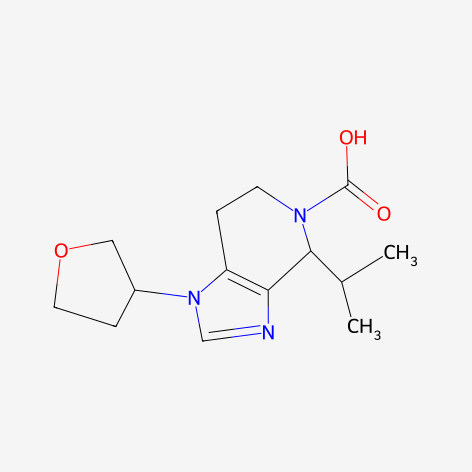 CC(C)C1c2ncn(C3CCOC3)c2CCN1C(=O)O